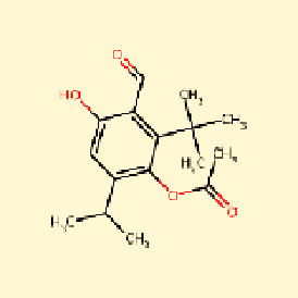 CC(=O)Oc1c(C(C)C)cc(O)c(C=O)c1C(C)(C)C